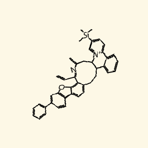 C=C/C1=N/C(=C)CC2C(CCc3ccc4c(oc5cc(-c6ccccc6)ccc54)c31)c1ccccc1-c1ccc([Si](C)(C)C)c[n+]12